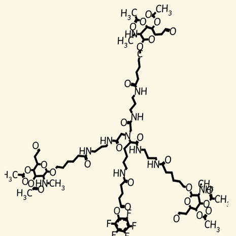 CNC1C(OCCCCCC(=O)NCCCNC(=O)CN(CC(=O)NCCCNC(=O)CCCCCOC2OC(CC=O)C(OC(C)=O)C(OC(C)=O)C2NC)C(CCCCNC(=O)CCCC(=O)Oc2c(F)c(F)c(F)c(F)c2F)C(=O)NCCCNC(=O)CCCCCOC2OC(CC=O)C(OC(C)=O)C(OC(C)=O)C2NC)OC(CC=O)C(OC(C)=O)C1OC(C)=O